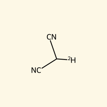 [2H]C(C#N)C#N